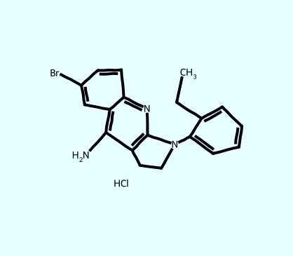 CCc1ccccc1N1CCc2c1nc1ccc(Br)cc1c2N.Cl